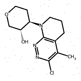 Cc1c(Cl)nnc2c1CCCN2[C@@H]1CCOC[C@H]1O